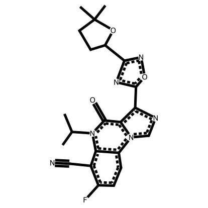 CC(C)n1c(=O)c2c(-c3nc(C4CCC(C)(C)O4)no3)ncn2c2ccc(F)c(C#N)c21